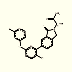 Cc1nccc(Nc2ncc(Cl)c(-c3ccc4c(c3)C(=O)N([C@H](C)C(N)=O)C4)n2)n1